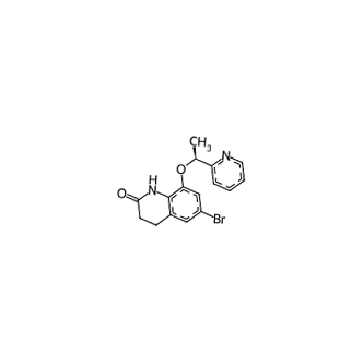 C[C@H](Oc1cc(Br)cc2c1NC(=O)CC2)c1ccccn1